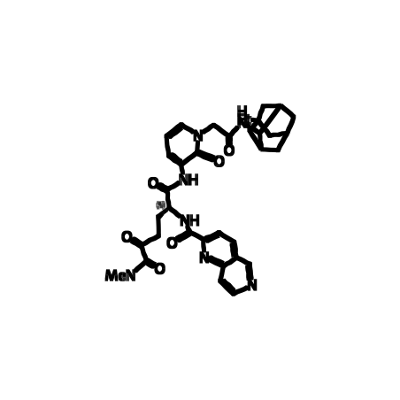 CCC12CC3CC(C1)C(NC(=O)Cn1cccc(NC(=O)[C@H](CCC(=O)C(=O)NC)NC(=O)c4ccc5cnccc5n4)c1=O)C(C3)C2